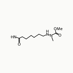 COC(=O)N(C)NCCCCCCC([NH])=O